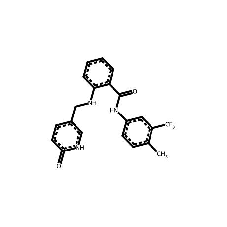 Cc1ccc(NC(=O)c2ccccc2NCc2ccc(=O)[nH]c2)cc1C(F)(F)F